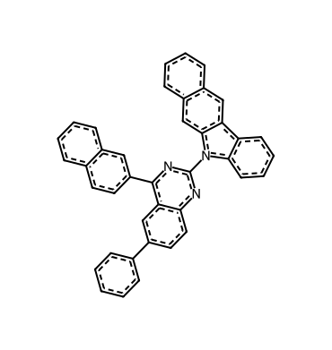 c1ccc(-c2ccc3nc(-n4c5ccccc5c5cc6ccccc6cc54)nc(-c4ccc5ccccc5c4)c3c2)cc1